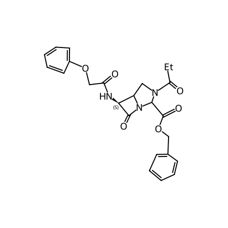 CCC(=O)N1CC2[C@H](NC(=O)COc3ccccc3)C(=O)N2C1C(=O)OCc1ccccc1